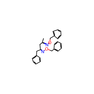 CC(CC(Cc1ccccc1)=NOCc1ccccc1)=NOCc1ccccc1